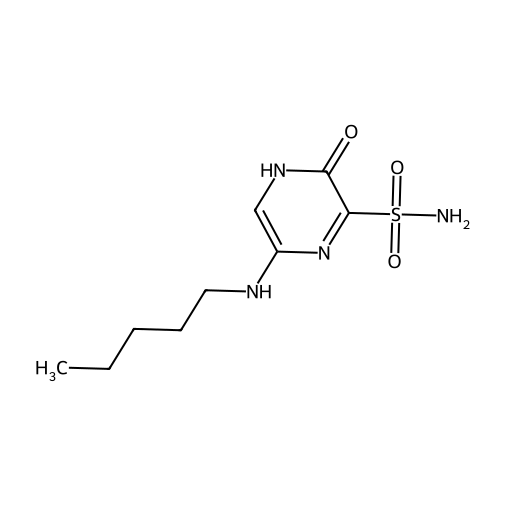 CCCCCNc1c[nH]c(=O)c(S(N)(=O)=O)n1